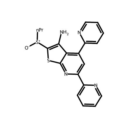 CCC[S+]([O-])c1sc2nc(-c3ccccn3)cc(-c3ccccn3)c2c1N